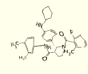 Cc1ccc(NC(=O)C2CCCN(C(=O)c3c(C)cccc3F)[C@H]2c2ccc(NC3CCCC3)cc2)cc1C